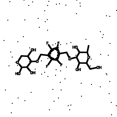 CC1OC(CO)C(O)C(OCc2c(F)c(F)c(COC3C(O)COC(O)C3O)c(F)c2F)C1O